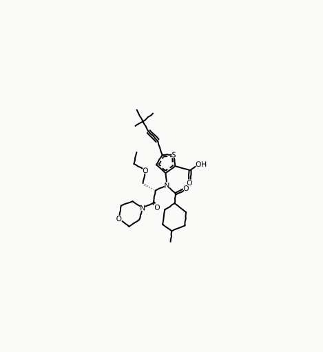 CCOC[C@@H](C(=O)N1CCOCC1)N(C(=O)C1CCC(C)CC1)c1cc(C#CC(C)(C)C)sc1C(=O)O